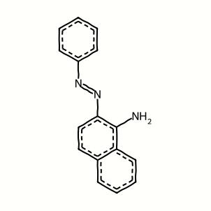 Nc1c(N=Nc2ccccc2)ccc2ccccc12